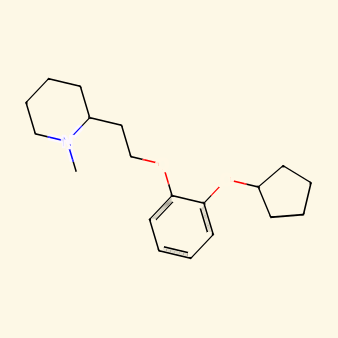 CN1CCCCC1CCOc1ccccc1OC1CCCC1